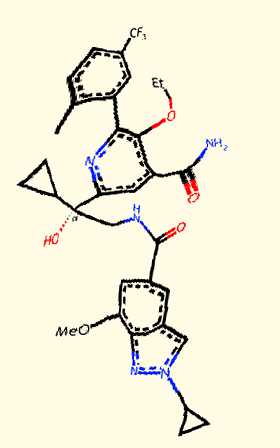 CCOc1c(C(N)=O)cc([C@@](O)(CNC(=O)c2cc(OC)c3nn(C4CC4)cc3c2)C2CC2)nc1-c1cc(C(F)(F)F)ccc1C